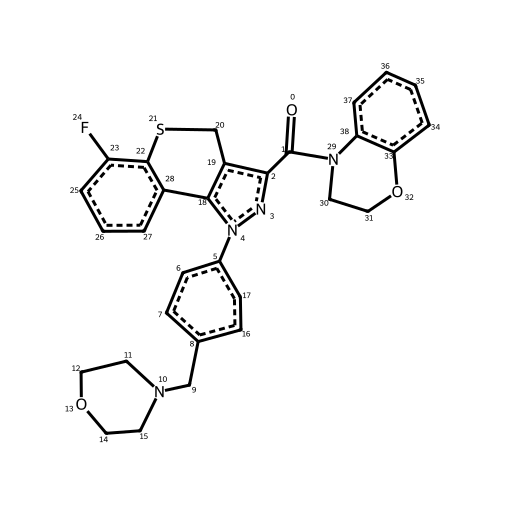 O=C(c1nn(-c2ccc(CN3CCOCC3)cc2)c2c1CSc1c(F)cccc1-2)N1CCOc2ccccc21